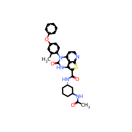 CC(=O)NC1CCC[C@H](NC(=O)c2sc3nccc4c3c2NC(=O)N4c2ccc(Oc3ccccc3)cc2C)C1